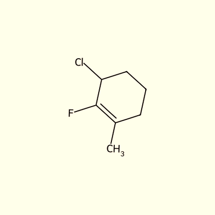 CC1=C(F)C(Cl)CCC1